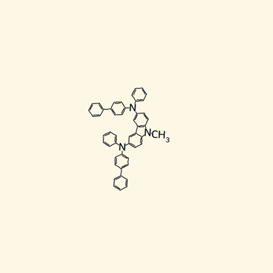 Cn1c2ccc(N(c3ccccc3)c3ccc(-c4ccccc4)cc3)cc2c2cc(N(c3ccccc3)c3ccc(-c4ccccc4)cc3)ccc21